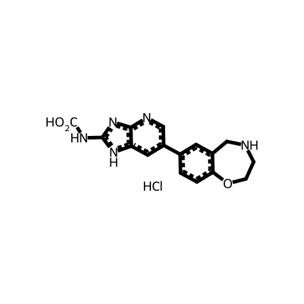 Cl.O=C(O)Nc1nc2ncc(-c3ccc4c(c3)CNCCO4)cc2[nH]1